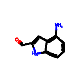 Nc1cccc2[nH]c(C=O)cc12